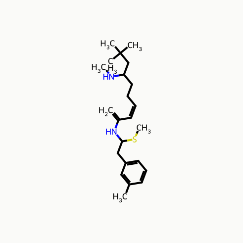 C=C(/C=C\CCC(CC(C)(C)C)NC)NC(Cc1cccc(C)c1)SC